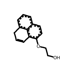 OCCOc1ccc2cccc3c2c1C=CC3